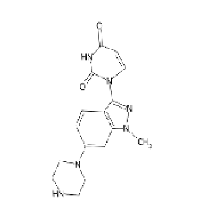 Cn1nc(-n2ccc(=O)[nH]c2=O)c2ccc(N3CCNCC3)cc21